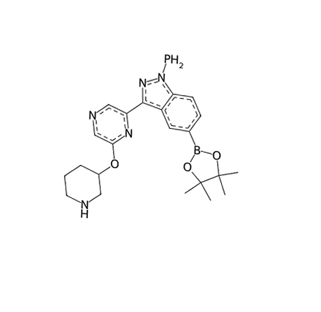 CC1(C)OB(c2ccc3c(c2)c(-c2cncc(OC4CCCNC4)n2)nn3P)OC1(C)C